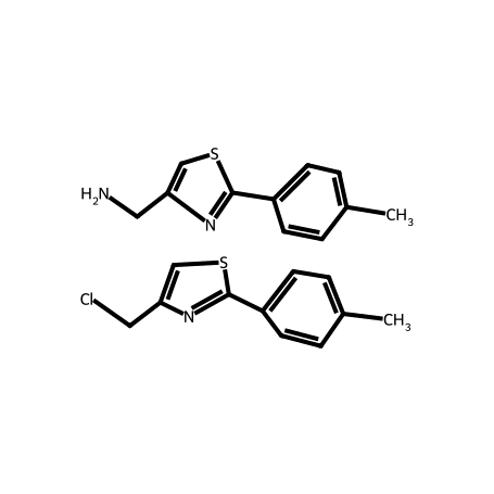 Cc1ccc(-c2nc(CCl)cs2)cc1.Cc1ccc(-c2nc(CN)cs2)cc1